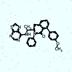 COc1ccc(-c2cccc3cc([C@H](C)Nc4ncnc5scnc45)n(-c4ccccc4)c(=O)c23)cc1